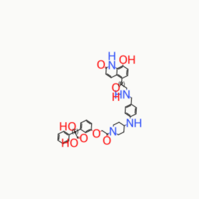 O=C(COc1cccc([C@](O)(C(=O)O)c2ccccc2)c1)N1CCC(Nc2ccc(CNC[C@H](O)c3ccc(O)c4[nH]c(=O)ccc34)cc2)CC1